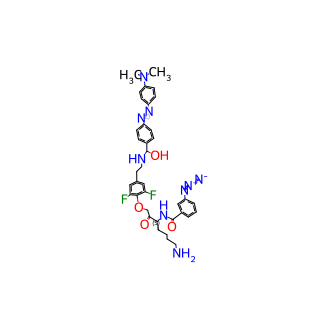 CN(C)c1ccc(/N=N/c2ccc(C(O)NCCc3cc(F)c(OCC(=O)[C@H](CCCCN)NC(=O)c4cccc(N=[N+]=[N-])c4)c(F)c3)cc2)cc1